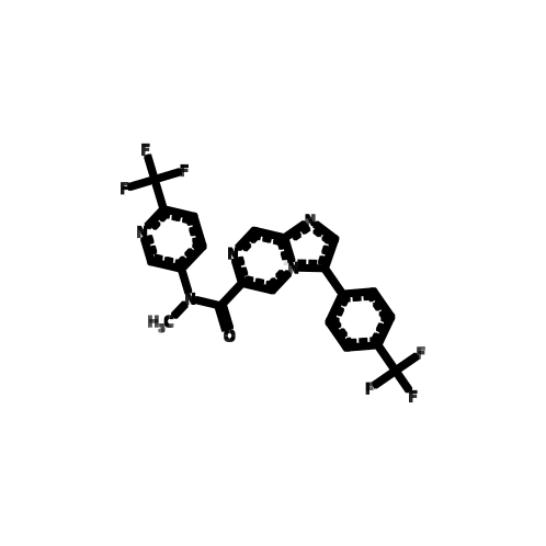 CN(C(=O)c1cn2c(-c3ccc(C(F)(F)F)cc3)cnc2cn1)c1ccc(C(F)(F)F)nc1